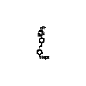 CCCCCCC[C@H]1CC[C@H](CCC2CCC(c3ncc(CCC)cn3)CC2)CC1